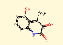 O=C(O)C1=c2c(O)cccc2=NC(=O)C1=O